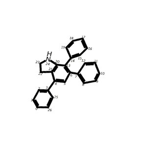 c1ccc(-c2cc(-c3ccccc3)c(-c3ccccc3)c3c2CCN3)cc1